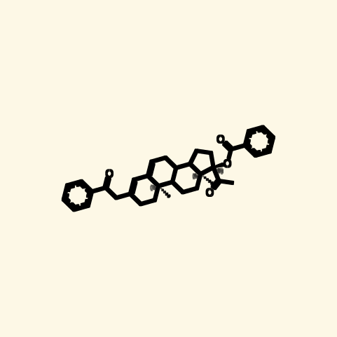 CC(=O)[C@@]1(OC(=O)c2ccccc2)CCC2C3CC=C4C=C(CC(=O)c5ccccc5)CC[C@]4(C)C3CC[C@@]21C